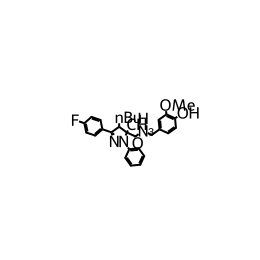 CCCCC1C(c2ccc(F)cc2)=NN(c2ccccc2)C1(C)C(=O)NCc1ccc(O)c(OC)c1